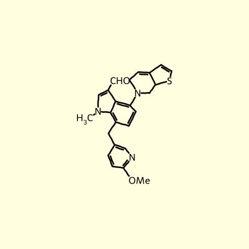 COc1ccc(Cc2ccc(N3CC=C4C=CSC4C3)c3c(C=O)cn(C)c23)cn1